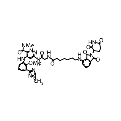 CNC(=O)c1nnc(NC(=O)CNC(=O)CCCCCCNc2cccc3c2C(=O)N(C2CCC(=O)NC2=O)C3=O)cc1Nc1cccc(-c2ncn(C)n2)c1OC